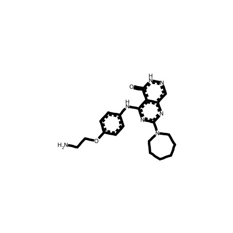 NCCOc1ccc(Nc2nc(N3CCCCCC3)nc3cn[nH]c(=O)c23)cc1